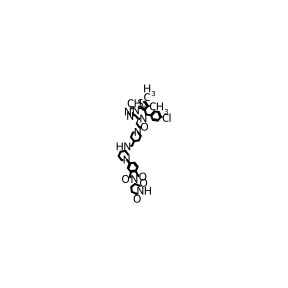 Cc1sc2c(c1C)C(c1ccc(Cl)cc1)=N[C@@H](CC(=O)N1CCC(CN[C@H]3CCCN(c4ccc5c(c4)C(=O)N(C4CCC(=O)NC4=O)C5=O)C3)CC1)c1nnc(C)n1-2